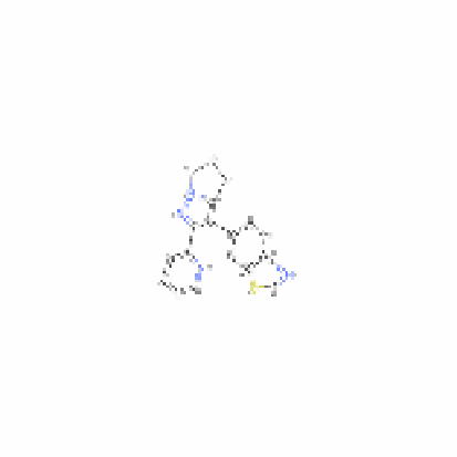 c1ccc(-c2nn3c(c2-c2ccc4ncsc4c2)CCC3)nc1